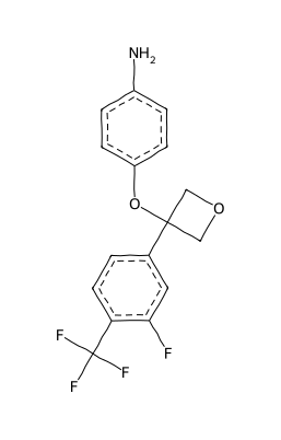 Nc1ccc(OC2(c3ccc(C(F)(F)F)c(F)c3)COC2)cc1